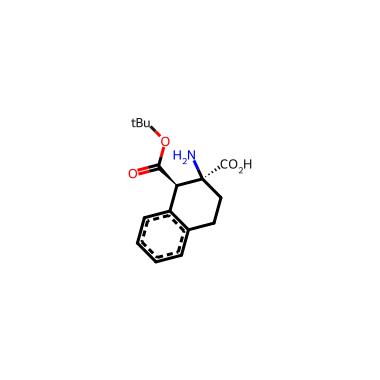 CC(C)(C)OC(=O)[C@@H]1c2ccccc2CC[C@@]1(N)C(=O)O